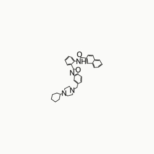 O=C(Nc1ccccc1-c1nc2cc(CN3CCN(C4CCCCC4)CC3)ccc2o1)c1ccc2ccccc2c1